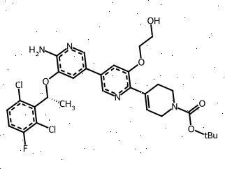 C[C@@H](Oc1cc(-c2cnc(C3=CCN(C(=O)OC(C)(C)C)CC3)c(OCCO)c2)cnc1N)c1c(Cl)ccc(F)c1Cl